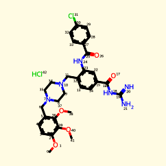 COc1ccc(CN2CCN(Cc3ccc(C(=O)NC(=N)N)cc3NC(=O)c3ccc(Cl)cc3)CC2)c(OC)c1OC.Cl